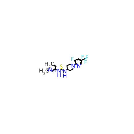 C=C/C(=C\N=C)NC(=S)NC1CCN(c2ncc(C(F)(F)F)cc2F)CC1